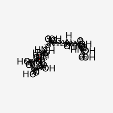 O=C(O)CCC(NC(=O)NC(CCCCNC(=O)CCCCCCC(=O)NC(CCCCNC(=S)Nc1ccc(CC2CN(CC(=O)O)CCN(CC(=O)O)CCN(CC(=O)O)CCN2CC(=O)O)cc1)C(=O)O)C(=O)O)C(=O)O